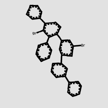 Brc1cc(-c2cccc(-c3ccccc3)c2)cc(-c2ccc(-c3ccccc3)c(Br)c2-c2ccccc2)c1